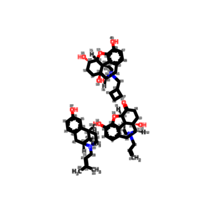 C=CCN1CC[C@]23c4c5ccc(O)c4O[C@H]2C(=O)CC[C@@]3(O)[C@H]1C5.CC(C)=CCN1CC[C@@]2(C)c3cc(O)ccc3C[C@@H]1[C@@H]2C.Oc1ccc2c3c1O[C@H]1[C@@H](O)CC[C@@]4(O)[C@@H](C2)N(CC2CCC2)CC[C@]314